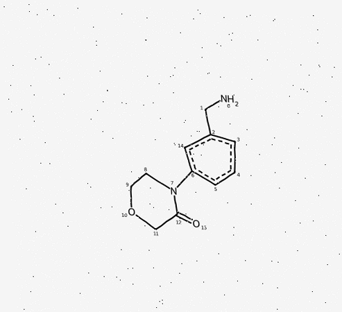 NCc1cccc(N2CCOCC2=O)c1